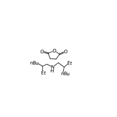 CCCCC(CC)CNCC(CC)CCCC.O=C1CCC(=O)O1